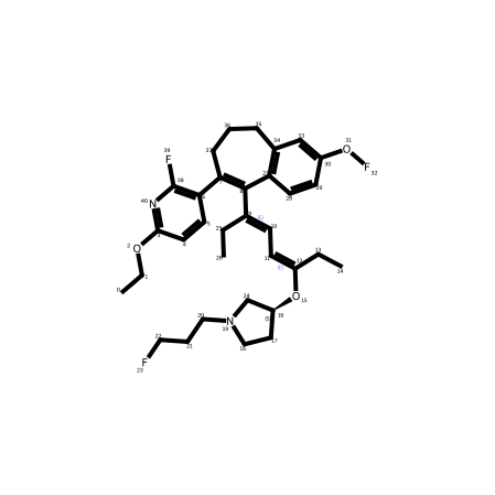 CCOc1ccc(C2=C(/C(=C/C=C(\CC)O[C@H]3CCN(CCCF)C3)CC)c3ccc(OF)cc3CCC2)c(F)n1